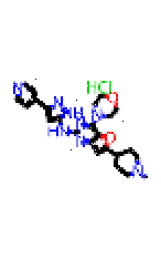 CN1CCC(c2cc3nc(Nc4cc(-c5ccncc5)n[nH]4)nc(N4CCOCC4)c3o2)CC1.Cl